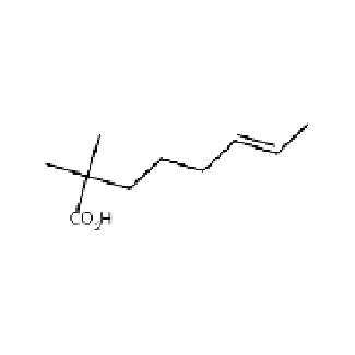 C/C=C/CCCC(C)(C)C(=O)O